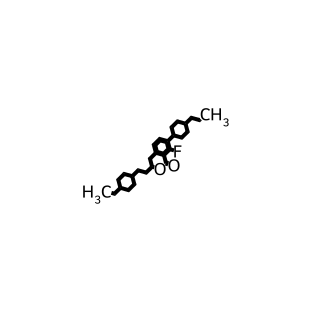 CCCC1CCC(c2ccc3c(c2F)C(=O)OC(CCC2CCC(CC)CC2)C3)CC1